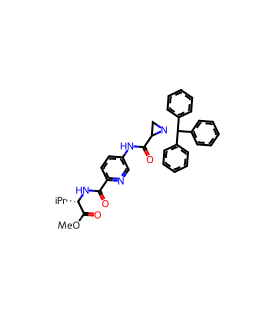 COC(=O)[C@@H](NC(=O)c1ccc(NC(=O)C2C[N@@]2C(c2ccccc2)(c2ccccc2)c2ccccc2)cn1)C(C)C